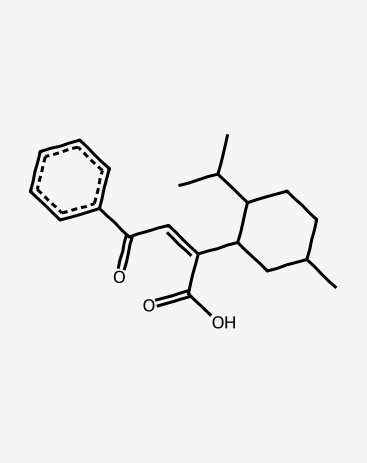 CC1CCC(C(C)C)C(C(=CC(=O)c2ccccc2)C(=O)O)C1